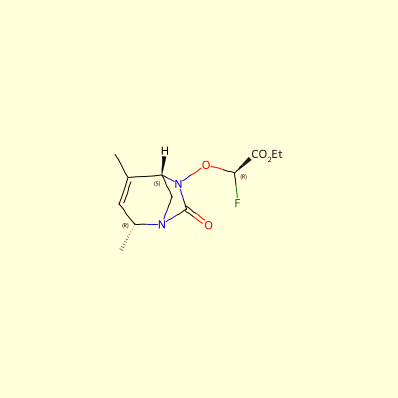 CCOC(=O)[C@@H](F)ON1C(=O)N2C[C@@H]1C(C)=C[C@H]2C